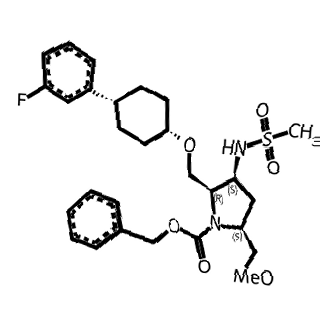 COC[C@@H]1C[C@H](NS(C)(=O)=O)[C@H](CO[C@H]2CC[C@@H](c3cccc(F)c3)CC2)N1C(=O)OCc1ccccc1